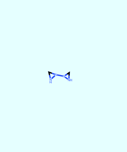 C1NN1N1CN1